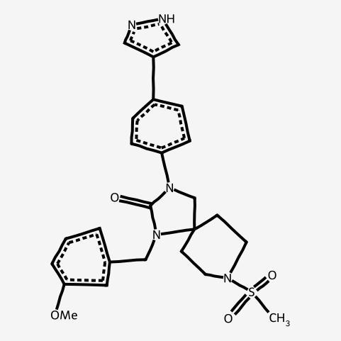 COc1cccc(CN2C(=O)N(c3ccc(-c4cn[nH]c4)cc3)CC23CCN(S(C)(=O)=O)CC3)c1